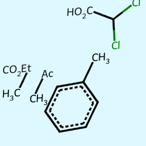 CC(C)=O.CCOC(C)=O.Cc1ccccc1.O=C(O)C(Cl)Cl